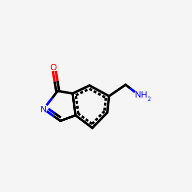 NCc1ccc2c(c1)C(=O)N=C2